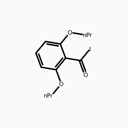 CCCOc1cccc(OCCC)c1C(=O)I